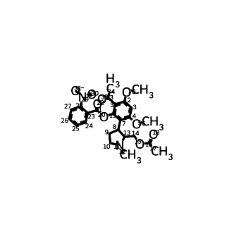 COc1cc(OC)c(C2CCN(C)C2COC(C)=O)c(OC(=O)c2ccccc2[N+](=O)[O-])c1C(C)=O